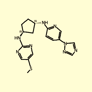 CSc1cnc(N[C@H]2CC[C@H](Nc3ccc(-n4cncn4)cn3)C2)nc1